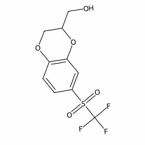 O=S(=O)(c1ccc2c(c1)OC(CO)CO2)C(F)(F)F